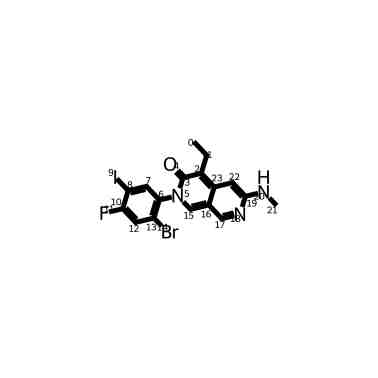 CCc1c(=O)n(-c2cc(I)c(F)cc2Br)cc2cnc(NC)cc12